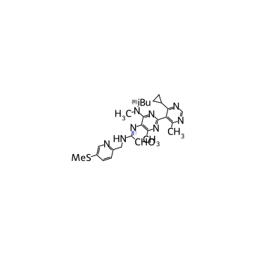 CC[C@@H](C)N(C)c1nc(-c2c(C)ncnc2C2CC2)nc(C)c1/N=C(\C=O)NCc1ccc(SC)cn1